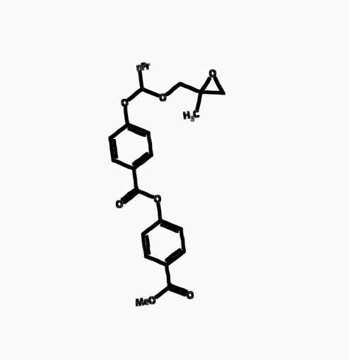 CCCC(OCC1(C)CO1)Oc1ccc(C(=O)Oc2ccc(C(=O)OC)cc2)cc1